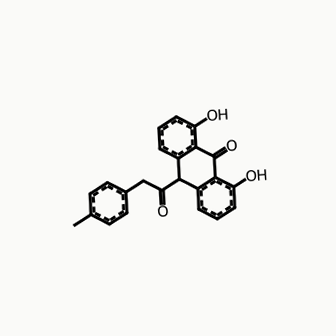 Cc1ccc(CC(=O)C2c3cccc(O)c3C(=O)c3c(O)cccc32)cc1